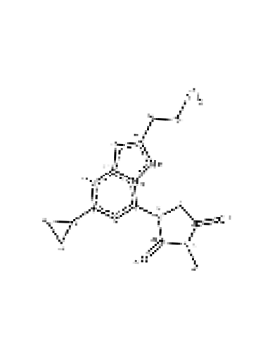 CN1C(=O)CN(c2cc(C3CC3)nc3cc(CCN)nn23)C1=O